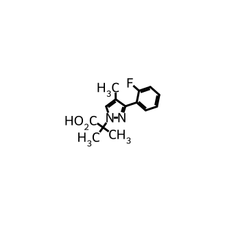 Cc1cn(C(C)(C)C(=O)O)nc1-c1ccccc1F